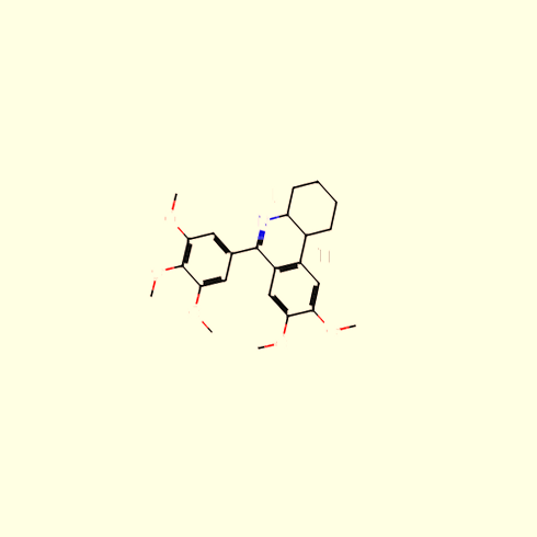 COc1cc2c(cc1OC)[C@@H]1CCCC[C@@H]1N=C2c1cc(OC)c(OC)c(OC)c1